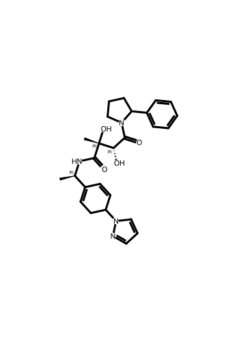 C[C@@H](NC(=O)[C@](C)(O)[C@@H](O)C(=O)N1CCCC1c1ccccc1)C1=CCC(n2cccn2)C=C1